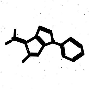 CC1=Cc2c(ccn2-c2ccccc2)C1=[Si](C)C